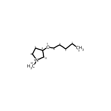 CCCCCOC1C[CH]N(C)C1